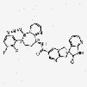 [N-]=[N+]=N[C@H]1c2cccnc2[C@@H](NC(=O)c2cnc3c(c2)C[C@@]2(C3)C(=O)Nc3ncccc32)CC[C@H]1c1cccc(F)c1F